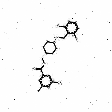 Cc1cc(C(=O)NC[C@H]2CC[C@@H](NCc3c(F)cccc3Cl)CC2)cc(C(F)(F)F)c1